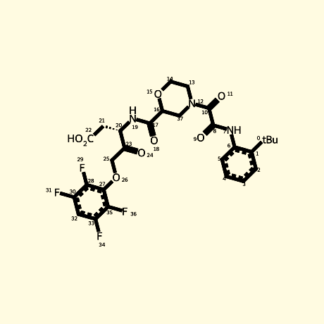 CC(C)(C)c1ccccc1NC(=O)C(=O)N1CCOC(C(=O)N[C@@H](CC(=O)O)C(=O)COc2c(F)c(F)cc(F)c2F)C1